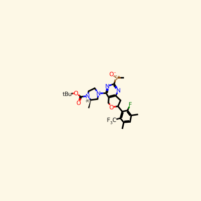 Cc1cc(C)c(C(F)(F)F)c(C2Cc3nc([S+](C)[O-])nc(N4CCN(C(=O)OC(C)(C)C)[C@H](C)C4)c3CO2)c1F